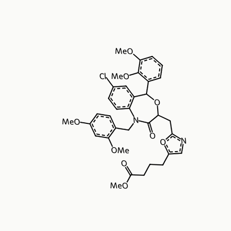 COC(=O)CCCc1cnc(CC2OC(c3cccc(OC)c3OC)c3cc(Cl)ccc3N(Cc3ccc(OC)cc3OC)C2=O)o1